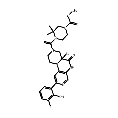 CCC12CN(C(=O)N3CCN(C(=O)OC(C)(C)C)CC3(C)C)CCN1c1cc(-c3cccc(F)c3O)nnc1NC2=O